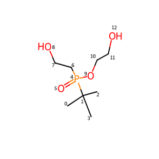 CC(C)(C)P(=O)(CCO)OCCO